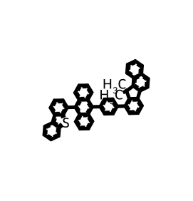 CC1(C)c2c(-c3ccc(-c4c5ccccc5c(-c5cccc6c5sc5ccccc56)c5ccccc45)cc3)cccc2-c2ccc3ccccc3c21